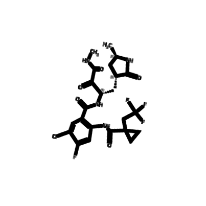 CNC(=O)C(=O)[C@H](C[C@@H]1C[C@@H](C)NC1=O)NC(=O)c1cc(Cl)c(F)cc1NC(=O)C1(CC(F)(F)F)CC1